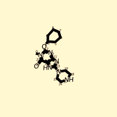 Cn1c(OC2CCCCC2)nc2nc(N3CCNCC3)[nH]c2c1=O